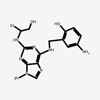 CCC(CO)Nc1nc(NCc2cc(N)ccc2O)c2ncn(C(C)C)c2n1